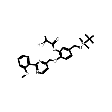 COc1ccccc1-c1nccc(COc2ccc(CO[Si](C)(C)C(C)(C)C)cc2OC(=O)C(C)O)n1